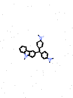 CN(C)c1ccc(C(=C2C=CC(=[N+](C)C)C=C2)c2ccc3c(c2)c2ccccc2n3C)cc1